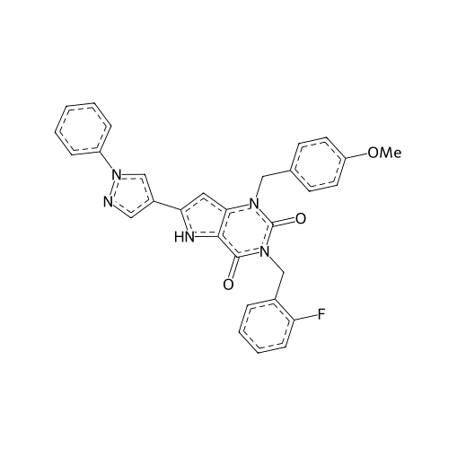 COc1ccc(Cn2c(=O)n(Cc3ccccc3F)c(=O)c3[nH]c(-c4cnn(-c5ccccc5)c4)cc32)cc1